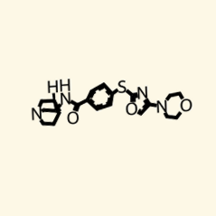 O=C(N[C@H]1CN2CCC1CC2)c1ccc(Sc2nc(N3CCOCC3)co2)cc1